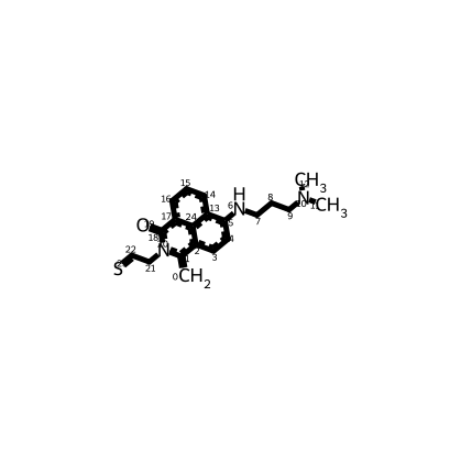 C=c1c2ccc(NCCCN(C)C)c3cccc(c(=O)n1CC=S)c32